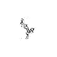 CO[C@H]1CCN(c2cnc3c(C)nnc(N[C@H](C)c4cc(O)c(Cc5nnc(N[C@H](C)c6cccc(C(F)(F)F)c6F)c6cc(N7CC[C@H](OC)C7)cnc56)c(C(F)(F)F)c4)c3c2)C1